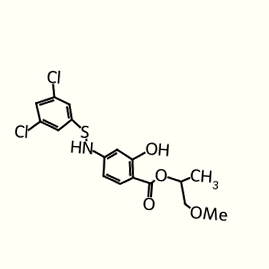 COCC(C)OC(=O)c1ccc(NSc2cc(Cl)cc(Cl)c2)cc1O